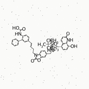 CC(C)(C)[Si](C)(C)O[C@@H](CNCc1ccc2c(c1)oc(=O)n2CCC=Cc1ccc(NC(=O)O)c(-c2ccccc2)c1)c1ccc(O)c2[nH]c(=O)ccc12